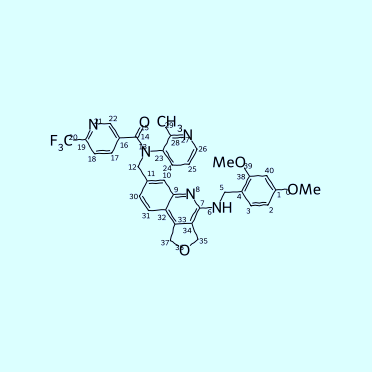 COc1ccc(CNc2nc3cc(CN(C(=O)c4ccc(C(F)(F)F)nc4)c4cccnc4C)ccc3c3c2COC3)c(OC)c1